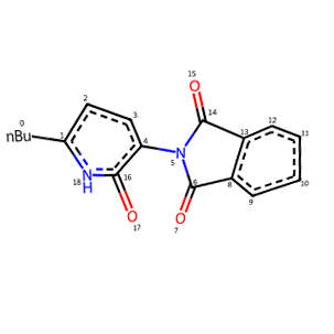 CCCCc1ccc(N2C(=O)c3ccccc3C2=O)c(=O)[nH]1